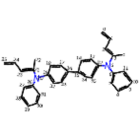 C=C/C=C(\C)N(c1ccccc1)c1ccc(-c2ccc(N(/C(C)=C/C=C)c3ccccc3)cc2)cc1